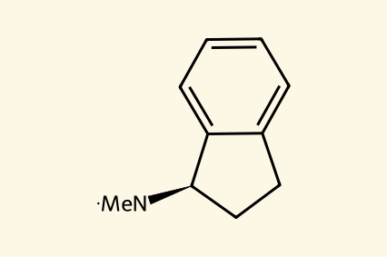 C[N][C@@H]1CCc2ccccc21